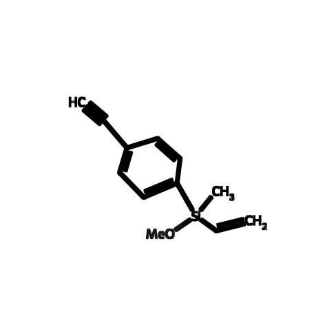 C#Cc1ccc([Si](C)(C=C)OC)cc1